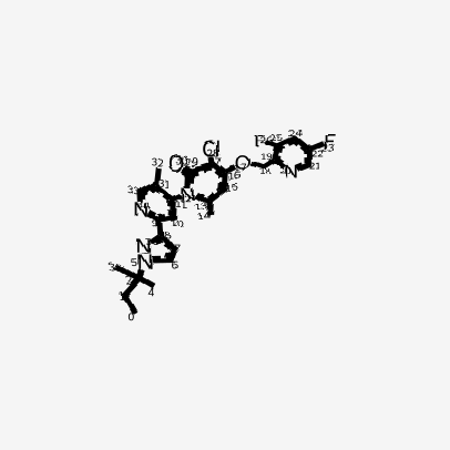 CCC(C)(C)n1ccc(-c2cc(-n3c(C)cc(OCc4ncc(F)cc4F)c(Cl)c3=O)c(C)cn2)n1